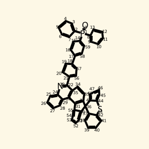 O=P(c1ccccc1)(c1ccccc1)c1ccc(-c2ccc(-c3nc4ccccc4c4c5c(ccc34)C3(c4ccccc4Sc4ccccc43)c3ccccc3-5)cc2)cc1